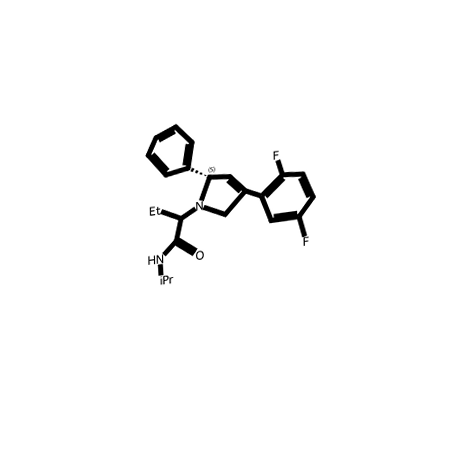 CCC(C(=O)NC(C)C)N1CC(c2cc(F)ccc2F)=C[C@H]1c1ccccc1